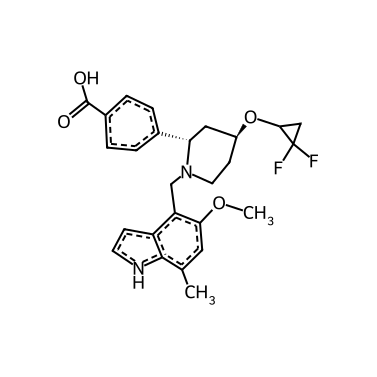 COc1cc(C)c2[nH]ccc2c1CN1CC[C@H](OC2CC2(F)F)C[C@H]1c1ccc(C(=O)O)cc1